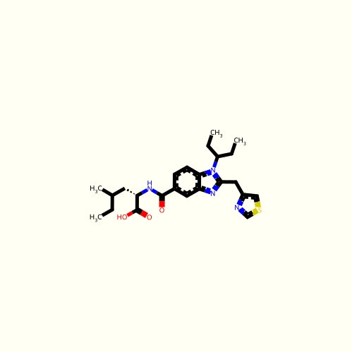 CCC(C)C[C@H](NC(=O)c1ccc2c(c1)nc(Cc1cscn1)n2C(CC)CC)C(=O)O